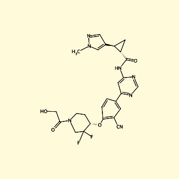 Cn1cc([C@H]2C[C@@H]2C(=O)Nc2cc(-c3ccc(O[C@H]4CCN(C(=O)CO)CC4(F)F)c(C#N)c3)ncn2)cn1